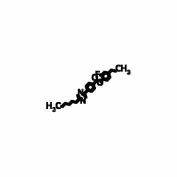 CCCCCCc1cnc(-c2ccc(C(=O)Oc3ccc(CCC)cc3F)cc2)cn1